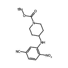 CC(C)(C)OC(=O)N1CCC(Nc2cc(C#N)ccc2[N+](=O)[O-])CC1